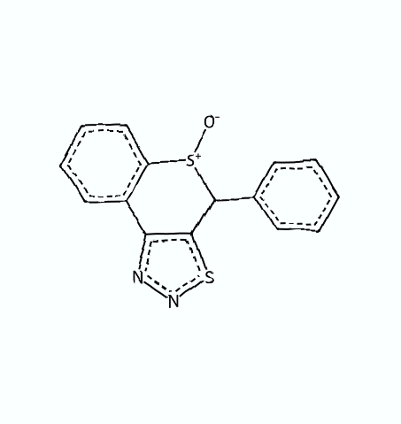 [O-][S+]1c2ccccc2-c2nnsc2C1c1ccccc1